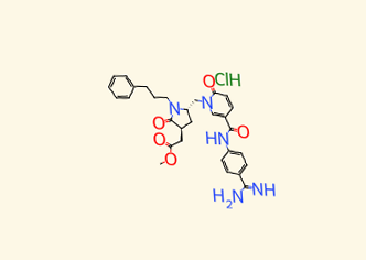 COC(=O)C[C@@H]1C[C@@H](Cn2cc(C(=O)Nc3ccc(C(=N)N)cc3)ccc2=O)N(CCCc2ccccc2)C1=O.Cl